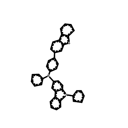 c1ccc(N(c2ccc(-c3ccc4c(c3)sc3ccccc34)cc2)c2ccc3c(c2)c2ccccc2n3-c2ccccc2)cc1